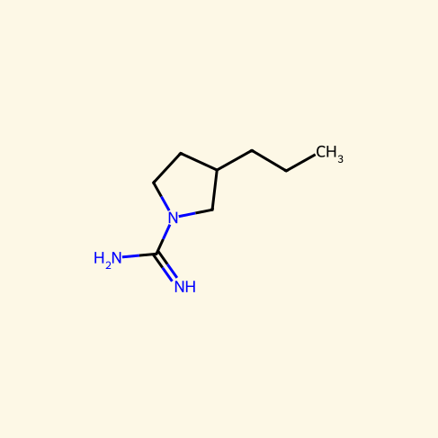 CCCC1CCN(C(=N)N)C1